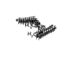 CCN(C(F)(F)C1(C(F)(F)N(CC)S(=O)(=O)C(F)(F)C(F)(F)C(F)(F)C(F)(F)C(F)(F)C(F)(F)C(F)(F)C(F)(F)F)COC1)S(=O)(=O)C(F)(F)C(F)(F)C(F)(F)C(F)(F)C(F)(F)C(F)(F)C(F)(F)C(F)(F)F